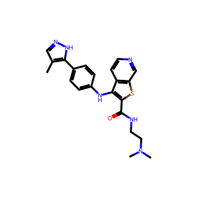 Cc1cn[nH]c1-c1ccc(Nc2c(C(=O)NCCN(C)C)sc3cnccc23)cc1